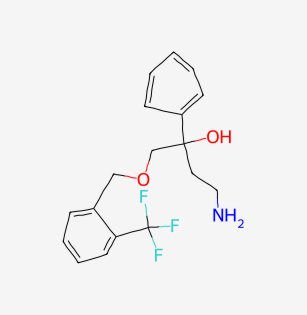 NCCC(O)(COCc1ccccc1C(F)(F)F)c1ccccc1